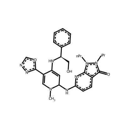 CCCn1c2nc(NC3C=C(N[C@H](CO)c4ccccc4)C(c4nnco4)=CN3C)ccc2c(=O)n1C(C)C